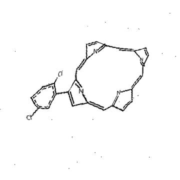 Clc1ccc(Cl)c(C2=CC3=CC4=NC(=CC5=NC(=CC6=NC(=CC2=N3)C=C6)C=C5)C=C4)c1